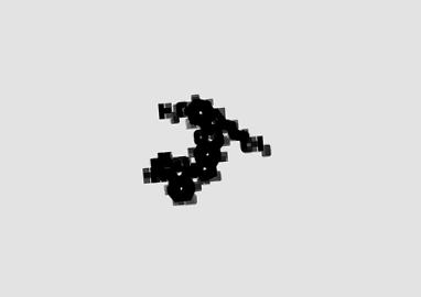 CCCCc1nc2ccc(C)cc2c(=O)n1Cc1ccc2c(c1)CCN2C(=O)c1ccccc1-c1nnn[nH]1